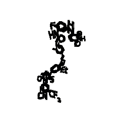 CCc1cc(N2C(=S)N(c3cnc(C#N)c(C(F)(F)F)c3)C(=O)C2(C)C)ccc1OCC[C@@H]1CCN(CC(=O)Nc2cc(NC3CCC(=O)NC3=O)ccc2F)[C@H](C)C1